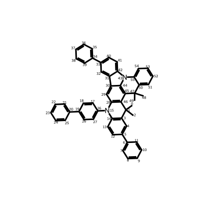 CC1(C)c2cc(-c3ccccc3)ccc2N(c2ccc(-c3ccccc3)cc2)c2cc3c4cc(-c5ccccc5)ccc4n4c3c(c21)C(C)(C)c1ccccc1-4